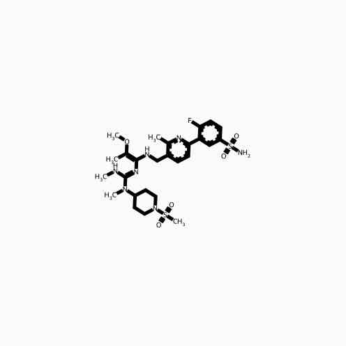 CN/C(=N\C(NCc1ccc(-c2cc(S(N)(=O)=O)ccc2F)nc1C)=C(/C)OC)N(C)C1CCN(S(C)(=O)=O)CC1